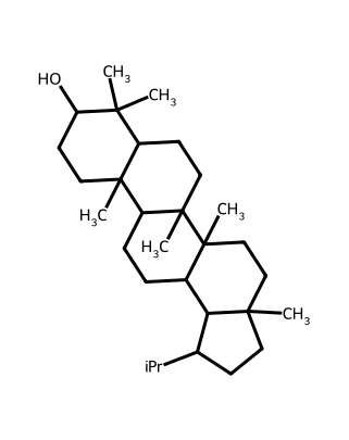 CC(C)C1CCC2(C)CCC3(C)C(CCC4C5(C)CCC(O)C(C)(C)C5CCC43C)C12